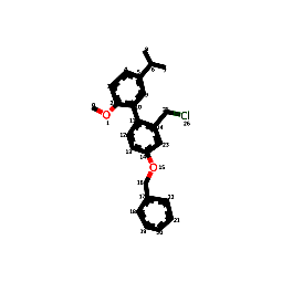 COc1ccc(C(C)C)cc1-c1ccc(OCc2ccccc2)cc1CCl